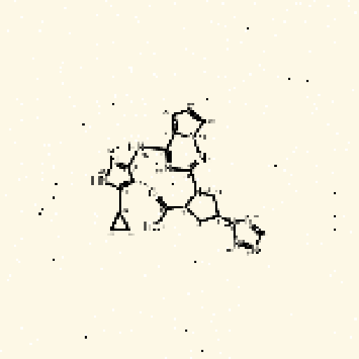 O=C(O)[C@@H]1C[C@H](n2ncnn2)CN1c1nc(Nc2cc(C3CC3)[nH]n2)c2cccn2n1